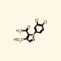 NC(=O)c1c(C(=O)O)cnn1-c1ccc(Cl)c(Cl)c1